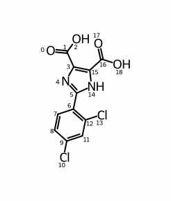 O=C(O)c1nc(-c2ccc(Cl)cc2Cl)[nH]c1C(=O)O